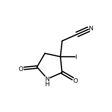 N#CCC1(I)CC(=O)NC1=O